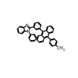 Cc1ccc(-c2c3ccccc3c(-c3cccc(-c4nc5ccccc5n4-c4ccccc4)c3)c3ccccc23)cc1